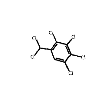 Clc1cc(C(Cl)Cl)c(Cl)c(Cl)c1Cl